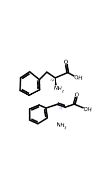 N.N[C@@H](Cc1ccccc1)C(=O)O.O=C(O)/C=C/c1ccccc1